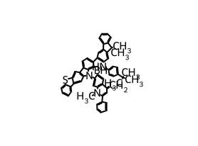 C=C1C=C(c2ccccc2)N(C)c2cc3c(cc21)Bc1c(-c2cc4c(cc2Nc2ccc(C(C)(C)C)cc2)C(C)(C)c2ccccc2-4)ccc2c4cc5sc6ccccc6c5cc4n-3c12